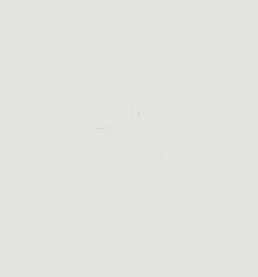 [O]=[InH].[S]=[InH]